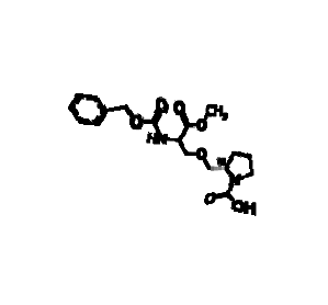 COC(=O)C(COC[C@@H]1CCCN1C(=O)O)NC(=O)OCc1ccccc1